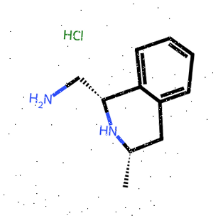 C[C@H]1Cc2ccccc2[C@@H](CN)N1.Cl